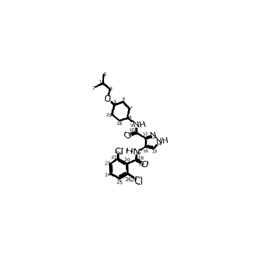 CC(C)COC1CCC(NC(=O)c2n[nH]cc2NC(=O)c2c(Cl)cccc2Cl)CC1